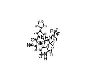 CC(C)(C)[C@H](NC(=O)C(F)(F)F)C(=O)N1CC(C2CCCC2)C[C@H]1C(=O)N[C@H](C#N)C[C@@H]1CCC2(CC2)NC1=O